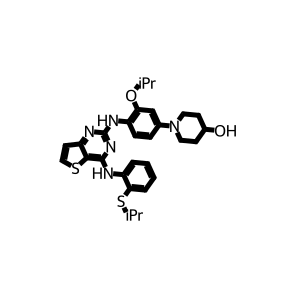 CC(C)Oc1cc(N2CCC(O)CC2)ccc1Nc1nc(Nc2ccccc2SC(C)C)c2sccc2n1